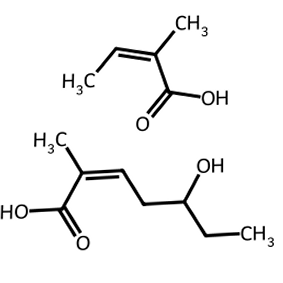 CC=C(C)C(=O)O.CCC(O)CC=C(C)C(=O)O